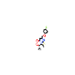 Cc1sc2nc(COc3ccc(F)cc3)cc(=O)n2c1C(=O)C1CC1